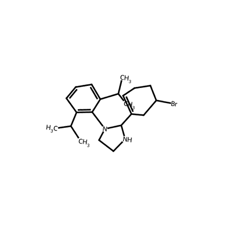 CC(C)c1cccc(C(C)C)c1N1CCNC1C1=CCCC(Br)C1